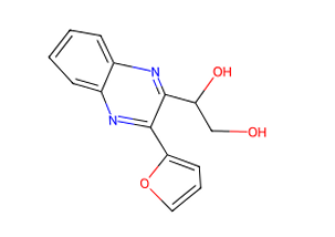 OCC(O)c1nc2ccccc2nc1-c1ccco1